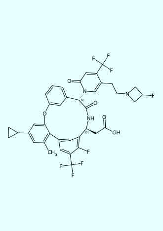 Cc1cc(C2CC2)cc2c1-c1cc(c(F)c(C(F)(F)F)c1)[C@H](CC(=O)O)NC(=O)[C@@H](n1cc(CCN3CC(F)C3)c(C(F)(F)F)cc1=O)c1cccc(c1)O2